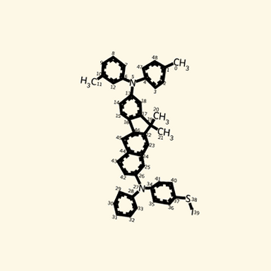 Cc1ccc(N(c2cccc(C)c2)c2ccc3c(c2)C(C)(C)c2cc4cc(N(c5ccccc5)c5ccc(SI)cc5)ccc4cc2-3)cc1